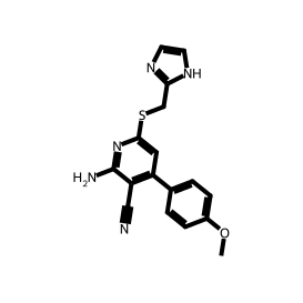 COc1ccc(-c2cc(SCc3ncc[nH]3)nc(N)c2C#N)cc1